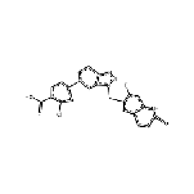 O=C(O)c1ccc(-c2ccc3nnn(Cc4cc5ccc(=O)[nH]c5cc4F)c3n2)cc1Cl